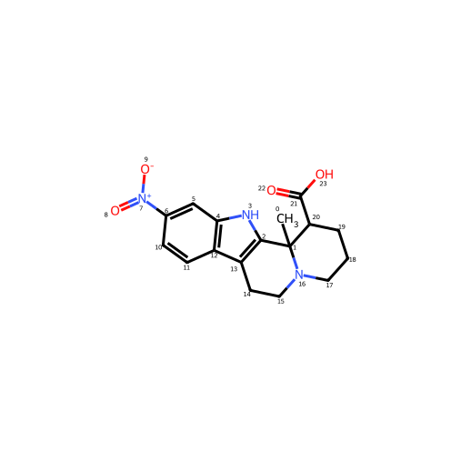 CC12c3[nH]c4cc([N+](=O)[O-])ccc4c3CCN1CCCC2C(=O)O